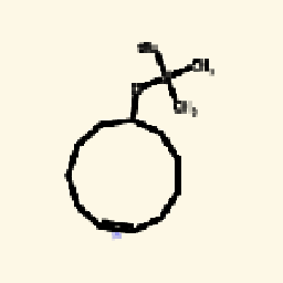 CC(C)(C)[Si](C)(C)OC1CCCC/C=C\CCCC1